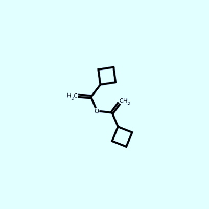 C=C(OC(=C)C1CCC1)C1CCC1